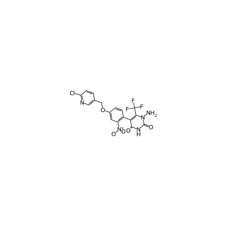 Nn1c(C(F)(F)F)c(-c2ccc(OCc3ccc(Cl)nc3)cc2[N+](=O)[O-])c(=O)[nH]c1=O